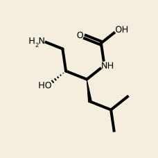 CC(C)C[C@H](NC(=O)O)[C@H](O)CN